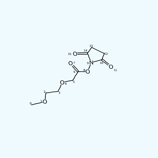 COCCOCC(=O)ON1C(=O)CCC1=O